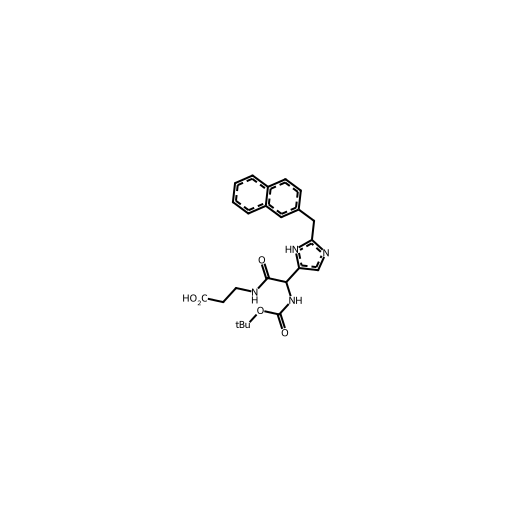 CC(C)(C)OC(=O)NC(C(=O)NCCC(=O)O)c1cnc(Cc2ccc3ccccc3c2)[nH]1